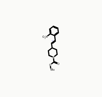 CC(C)(C)OC(=O)N1CCC(/C=C/c2ccccc2[N+](=O)[O-])CC1